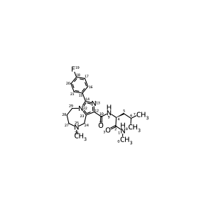 CNC(=O)[C@H](CC(C)C)NC(=O)c1nc(-c2ccc(F)cc2)n2c1CN(C)CCC2